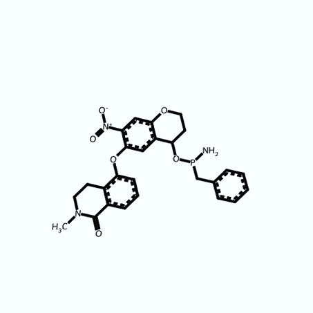 CN1CCc2c(Oc3cc4c(cc3[N+](=O)[O-])OCCC4OP(N)Cc3ccccc3)cccc2C1=O